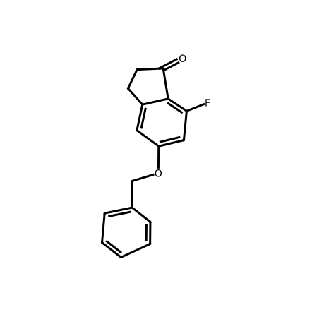 O=C1CCc2cc(OCc3ccccc3)cc(F)c21